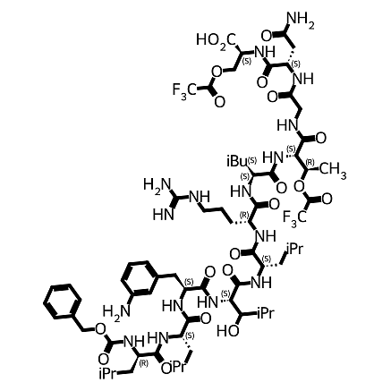 CC[C@H](C)[C@H](NC(=O)[C@@H](CCCNC(=N)N)NC(=O)[C@H](CC(C)C)NC(=O)[C@@H](NC(=O)[C@H](Cc1cccc(N)c1)NC(=O)[C@H](CC(C)C)NC(=O)[C@@H](CC(C)C)NC(=O)OCc1ccccc1)C(O)C(C)C)C(=O)N[C@H](C(=O)NCC(=O)N[C@@H](CC(N)=O)C(=O)N[C@@H](COC(=O)C(F)(F)F)C(=O)O)[C@@H](C)OC(=O)C(F)(F)F